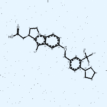 O=C(O)C[C@H]1CCn2c1c(I)c1cc(OCc3ccc(C4CCCC4)c(C(F)(F)F)c3)ccc12